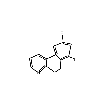 Fc1cc(F)c2c(c1)-c1cccnc1CC2